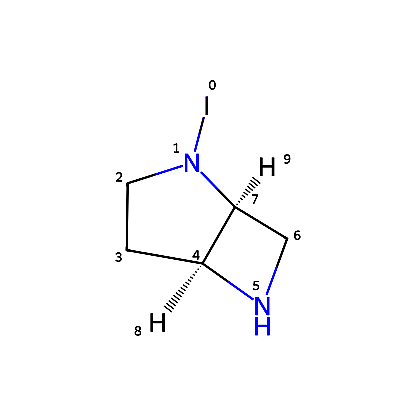 IN1CC[C@@H]2NC[C@@H]21